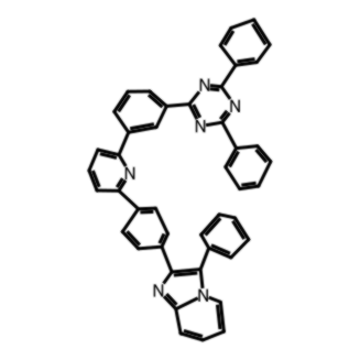 c1ccc(-c2nc(-c3ccccc3)nc(-c3cccc(-c4cccc(-c5ccc(-c6nc7ccccn7c6-c6ccccc6)cc5)n4)c3)n2)cc1